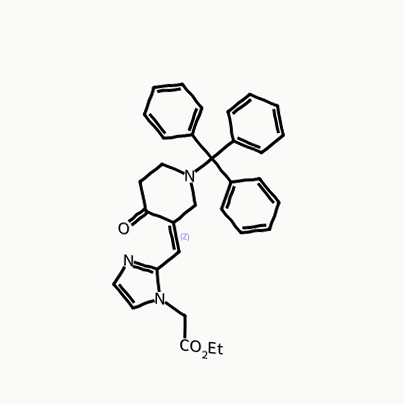 CCOC(=O)Cn1ccnc1/C=C1/CN(C(c2ccccc2)(c2ccccc2)c2ccccc2)CCC1=O